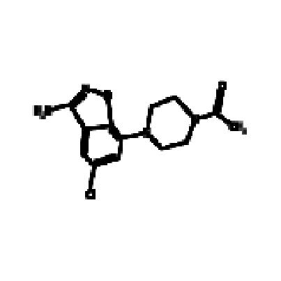 CC(=O)N1CCN(c2cc(Cl)cc3c(N)noc23)CC1